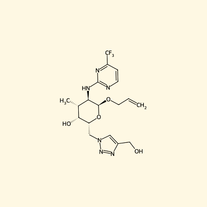 C=CCO[C@H]1O[C@H](Cn2cc(CO)nn2)[C@H](O)[C@H](C)[C@H]1Nc1nccc(C(F)(F)F)n1